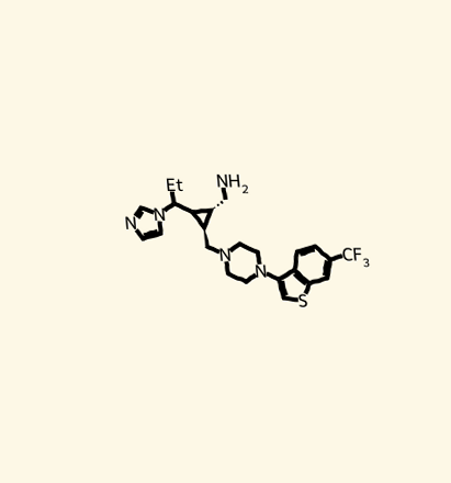 CCC(C1[C@H](CN)[C@H]1CN1CCN(c2csc3cc(C(F)(F)F)ccc23)CC1)n1ccnc1